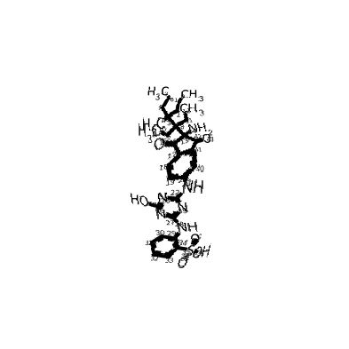 CCCC(C)(CCC)C(CC)(CC)C1(N)C(=O)c2ccc(Nc3nc(O)nc(Nc4ccccc4S(=O)(=O)O)n3)cc2C1=O